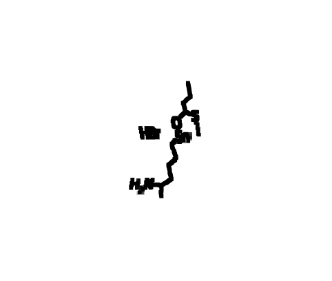 Br.CCCC([O][Sn][CH2]CCCC(C)N)SI